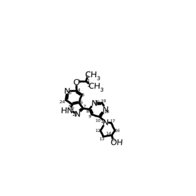 CC(C)Oc1cc2c(-c3cc(N4CCC(O)CC4)ncn3)n[nH]c2cn1